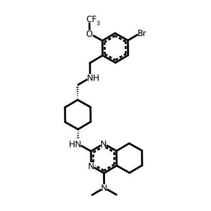 CN(C)c1nc(N[C@H]2CC[C@@H](CNCc3ccc(Br)cc3OC(F)(F)F)CC2)nc2c1CCCC2